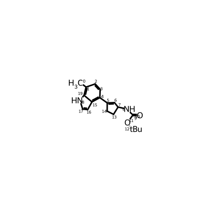 Cc1ccc(C2=CC(NC(=O)OC(C)(C)C)CC2)c2cc[nH]c12